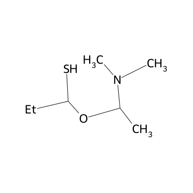 CCC(S)OC(C)N(C)C